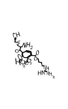 C#CCSCC(N)C(=O)c1ccc(C(=O)OCCCCNC(=N)N)c(OC)c1OC